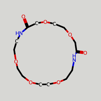 O=C1COCCOCC(=O)NCCOCCOCCOCCN1